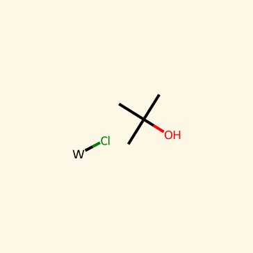 CC(C)(C)O.[Cl][W]